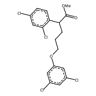 COC(=O)C(CCCOc1cc(Cl)cc(Cl)c1)c1ccc(Cl)cc1Cl